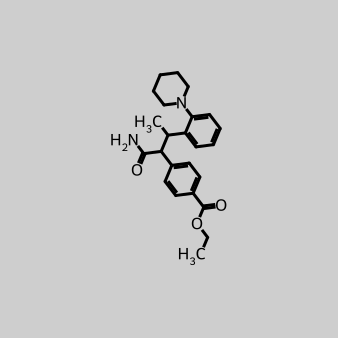 CCOC(=O)c1ccc(C(C(N)=O)C(C)c2ccccc2N2CCCCC2)cc1